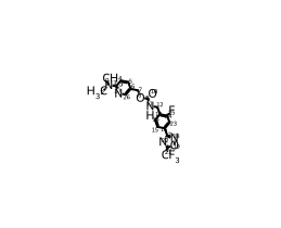 CN(C)c1ccc(COC(=O)NCc2ccc(-c3noc(C(F)(F)F)n3)cc2F)cn1